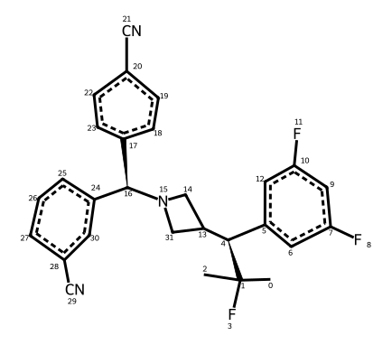 CC(C)(F)[C@H](c1cc(F)cc(F)c1)C1CN([C@H](c2ccc(C#N)cc2)c2cccc(C#N)c2)C1